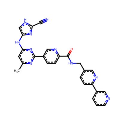 Cc1cc(Nc2c[nH]c(C#N)n2)nc(-c2ccc(C(=O)NCc3ccc(-c4cccnc4)nc3)nc2)n1